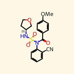 COc1ccc(C(=O)N(c2ccccc2C#N)S(=O)(=O)N[C@H]2CCOC2)cc1